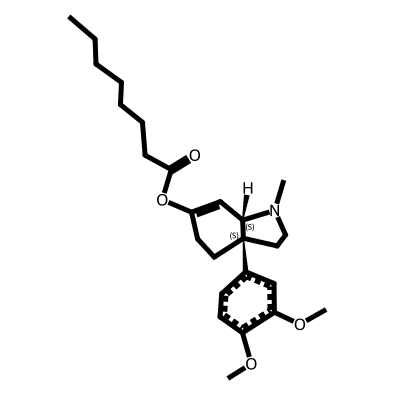 CCCCCCCC(=O)OC1=C[C@@H]2N(C)CC[C@]2(c2ccc(OC)c(OC)c2)CC1